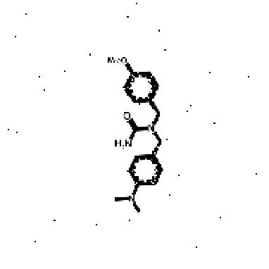 COc1ccc(CN(Cc2ccc(N(C)C)cc2)C(N)=O)cc1